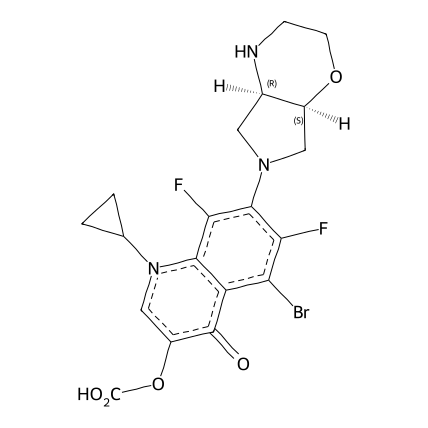 O=C(O)Oc1cn(C2CC2)c2c(F)c(N3C[C@@H]4OCCN[C@@H]4C3)c(F)c(Br)c2c1=O